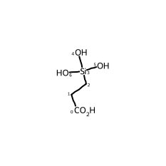 O=C(O)CC[Si](O)(O)O